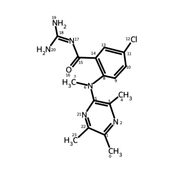 Cc1nc(C)c(N(C)c2ccc(Cl)cc2C(=O)N=C(N)N)nc1C